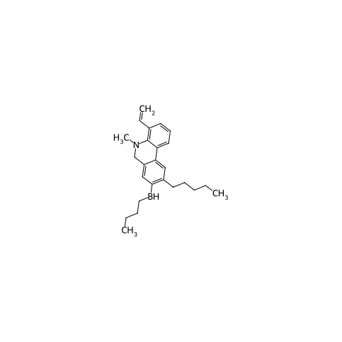 C=Cc1cccc2c1N(C)Cc1cc(BCCCC)c(CCCCC)cc1-2